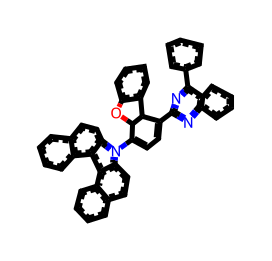 C1=C(c2nc(-c3ccccc3)c3ccccc3n2)C2c3ccccc3OC2C(n2c3ccc4ccccc4c3c3c4ccccc4ccc32)=C1